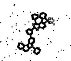 C[Si]1(C)c2ccccc2-c2c1ccc1nc(-c3cccc(-c4ccc5c(c4)c4c6ccccc6ccc4n5-c4ccccc4)c3)nc(-c3ccccc3)c21